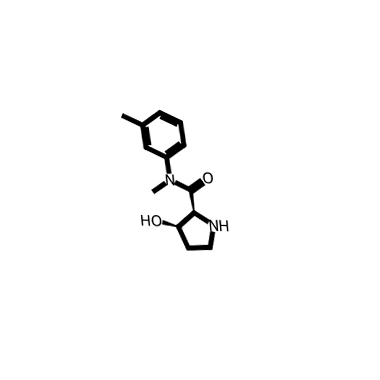 Cc1cccc(N(C)C(=O)[C@H]2NCC[C@H]2O)c1